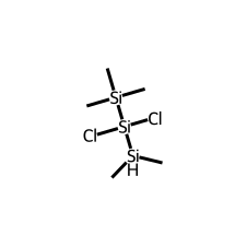 C[SiH](C)[Si](Cl)(Cl)[Si](C)(C)C